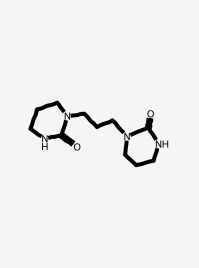 O=C1NCCCN1CCCN1CCCNC1=O